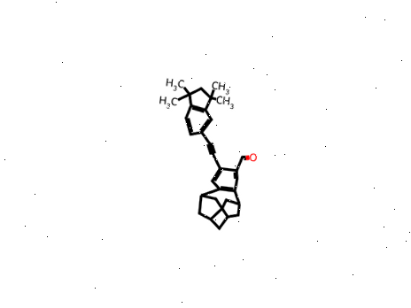 CC1(C)CC(C)(C)c2cc(C#Cc3cc4c(cc3C=O)C3CC5CC6CC4CC65C3)ccc21